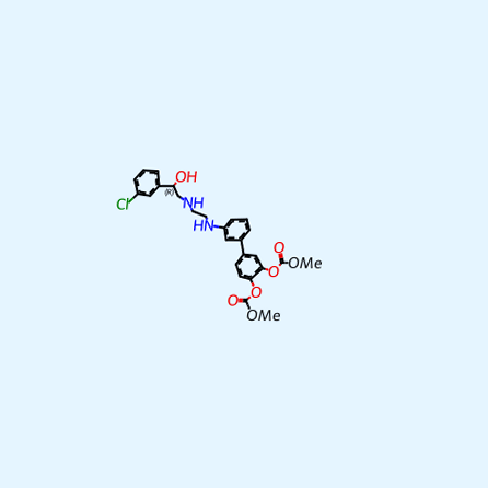 COC(=O)Oc1ccc(-c2cccc(NCCNC[C@H](O)c3cccc(Cl)c3)c2)cc1OC(=O)OC